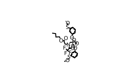 CCCCOC(=O)CN(CP(=O)(OOc1cccc(SOC)c1)OOc1cccc(SOC)c1)C(=O)C(F)(F)F